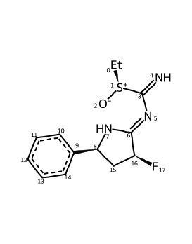 CC[S@+]([O-])C(=N)/N=C1\N[C@H](c2ccccc2)C[C@@H]1F